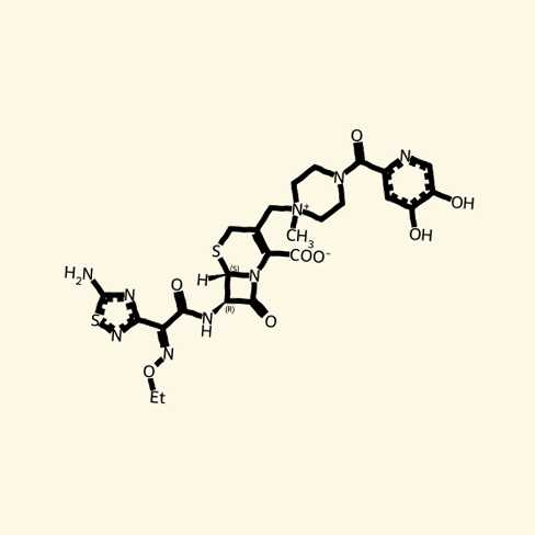 CCON=C(C(=O)N[C@@H]1C(=O)N2C(C(=O)[O-])=C(C[N+]3(C)CCN(C(=O)c4cc(O)c(O)cn4)CC3)CS[C@@H]12)c1nsc(N)n1